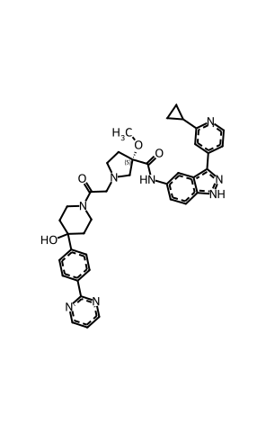 CO[C@@]1(C(=O)Nc2ccc3[nH]nc(-c4ccnc(C5CC5)c4)c3c2)CCN(CC(=O)N2CCC(O)(c3ccc(-c4ncccn4)cc3)CC2)C1